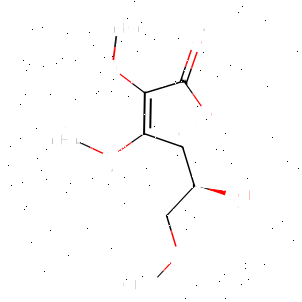 CCCCOC1=C(OCCCC)[C@@H]([C@@H](O)COC=O)OC1=O